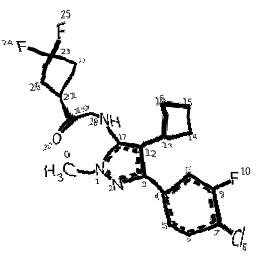 Cn1nc(-c2ccc(Cl)c(F)c2)c(C2CCC2)c1NC(=O)C1CC(F)(F)C1